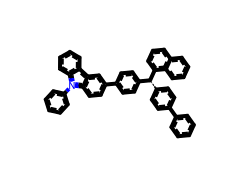 c1ccc(-c2ccc([C@H](c3ccc(-c4ccc5c(c4)c4ccccc4n5-c4ccccc4)cc3)c3cccc4ccccc34)cc2)cc1